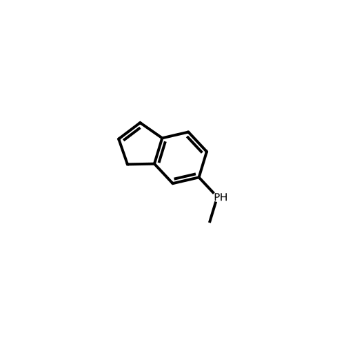 CPc1ccc2c(c1)CC=C2